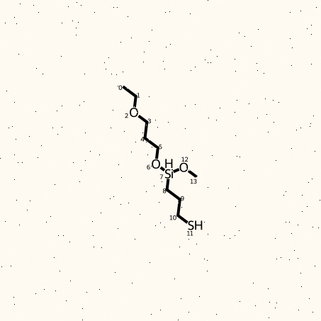 CCOCCCO[SiH](CCCS)OC